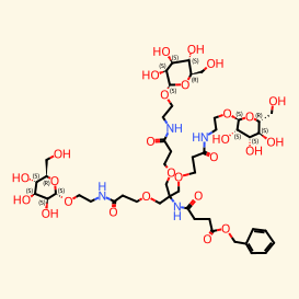 O=C(CCOCC(COCCC(=O)NCCO[C@H]1O[C@H](CO)[C@@H](O)[C@H](O)[C@@H]1O)(COCCC(=O)NCCO[C@H]1O[C@H](CO)[C@@H](O)[C@H](O)[C@@H]1O)NC(=O)CCC(=O)OCc1ccccc1)NCCO[C@H]1O[C@H](CO)[C@@H](O)[C@H](O)[C@@H]1O